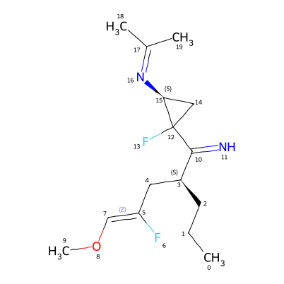 CCC[C@@H](C/C(F)=C/OC)C(=N)C1(F)C[C@@H]1N=C(C)C